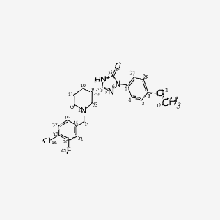 COc1ccc(-n2nc([C@H]3CCCN(Cc4ccc(Cl)c(F)c4)C3)[nH]c2=O)cc1